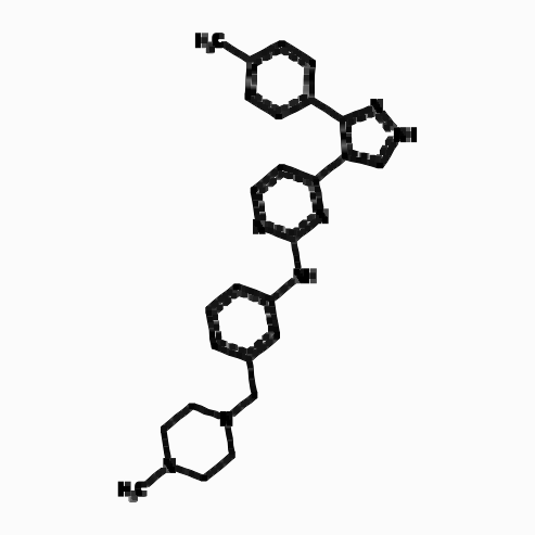 Cc1ccc(-c2n[nH]cc2-c2ccnc(Nc3cccc(CN4CCN(C)CC4)c3)n2)cc1